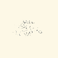 CC(=O)OC[C@@H]1O[C@@H](Oc2ccc(/C=C/C(=O)c3ccccc3)cc2)[C@@H](OC(C)=O)[C@H](CC(=O)O)[C@H]1O[C@H]1O[C@@H](COC(C)=O)[C@H](OC(C)=O)[C@@H](OC(C)=O)[C@@H]1OC(C)=O